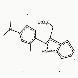 CCOC(=O)Cc1c(-c2ccc(N(C)C)cc2C)[nH]c2ccccc12